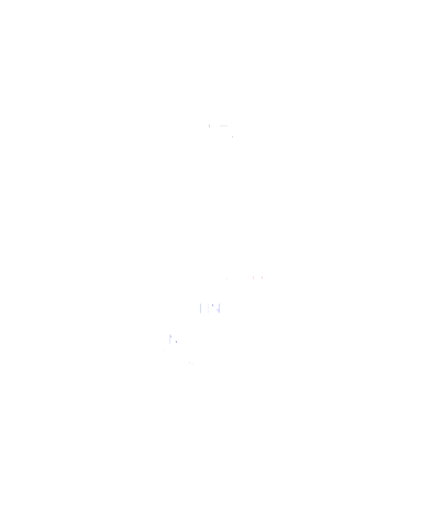 C=CCCC[CH]C(=O)Nc1ccccc1C(N)=O